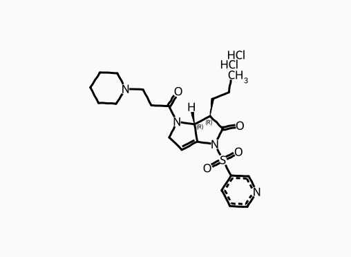 CCC[C@H]1C(=O)N(S(=O)(=O)c2cccnc2)C2=CCN(C(=O)CCN3CCCCC3)[C@@H]21.Cl.Cl